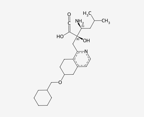 CC(C)C[C@H](N)[C@](O)(Cc1nccc2c1CCC(OCC1CCCCC1)C2)C(O)=C=O